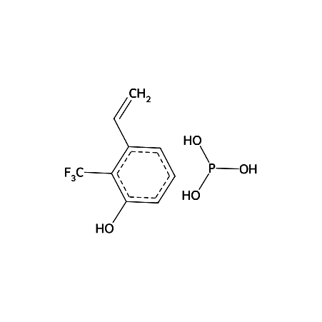 C=Cc1cccc(O)c1C(F)(F)F.OP(O)O